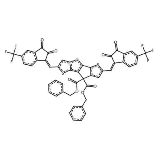 O=C1C(=O)c2cc(C(F)(F)F)ccc2/C1=C/c1cc2c(s1)-c1sc3cc(/C=C4\C(=O)C(=O)c5cc(C(F)(F)F)ccc54)sc3c1C2(C(=O)OCc1ccccc1)C(=O)OCc1ccccc1